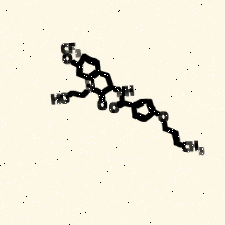 C/C=C/COc1ccc(C(=O)NC(Cc2ccc(OC(F)(F)F)cc2)C(=O)NCCO)cc1